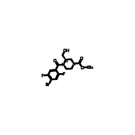 CC(C)(C)OC(=O)N1CCN(C(=O)c2cc(F)c(Br)cc2F)[C@@H](CO)C1